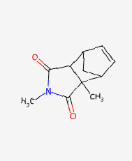 CN1C(=O)C2C3C=CC(C3)C2(C)C1=O